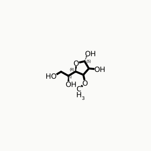 COC1C(O)[C@@H](O)O[C@@H]1[C@@H](O)CO